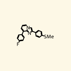 CSc1ccc(-c2cn3cccc(-c4ccc(F)cc4)c3n2)cc1